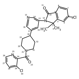 CC1(C)c2cc(Cl)ccc2C(=O)N1c1cncc(C2CCN(C(=O)c3ncccc3Cl)CC2)c1